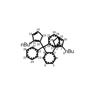 CCCCC1=C(c2ccccc2C(C2=C(CCCC)C=CC2)(c2ccccc2)c2ccccc2)CC=C1